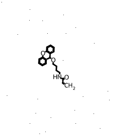 C=CC(=O)NCCCCOC1c2ccccc2Oc2ccccc21